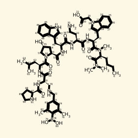 CCCC[C@@H](C(=O)N(C)C)N(C)C(=O)[C@H](Cc1cn(CC(=O)O)c2ccccc12)NC(=O)[C@H](CCN)NC(=O)[C@H](Cc1c[nH]c2ccccc12)NC(=O)[C@@H]1C[C@@H](O)CN1C(=O)[C@H](CC(C)C)NC(=O)[C@H](CNCc1cc(C)c(B(O)O)c(C)c1)NC(=O)[C@@H]1CCCN1